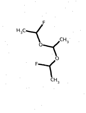 CC(F)OC(C)OC(C)F